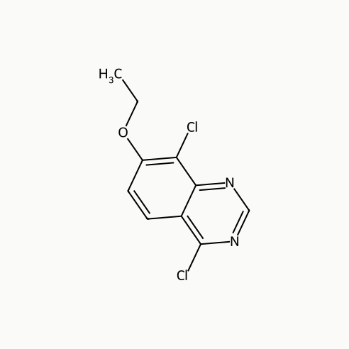 CCOc1ccc2c(Cl)ncnc2c1Cl